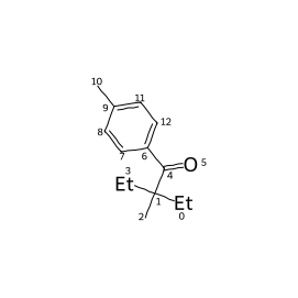 CCC(C)(CC)C(=O)c1ccc(C)cc1